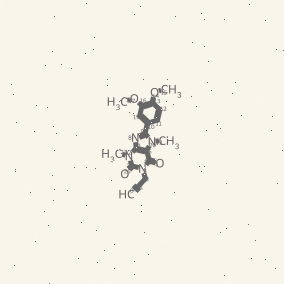 C#CCn1c(=O)c2c(nc(-c3ccc(OC)c(OC)c3)n2C)n(C)c1=O